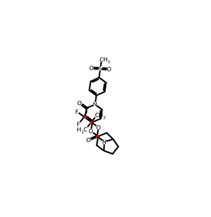 CC(C)(OC(=O)N1C2CCC1CC(Oc1ccn(-c3ccc(S(C)(=O)=O)cc3)c(=O)c1)C2)C(F)(F)F